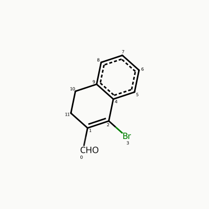 O=CC1=C(Br)c2ccccc2CC1